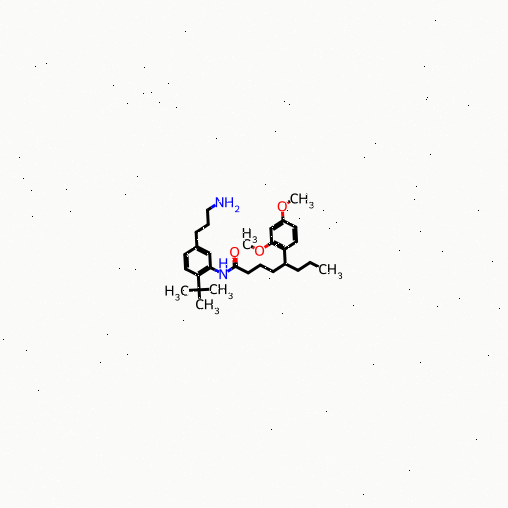 CCCC(CCCC(=O)Nc1cc(CCCN)ccc1C(C)(C)C)c1ccc(OC)cc1OC